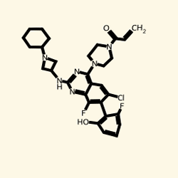 C=CC(=O)N1CCN(c2nc(NC3CN(C4CCCCC4)C3)nc3c(F)c(-c4c(O)cccc4F)c(Cl)cc23)CC1